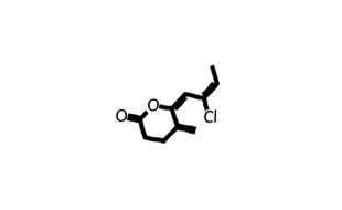 C=C1CCC(=O)O/C1=C/C(Cl)=C\C